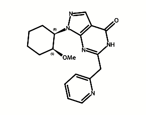 CO[C@H]1CCCC[C@H]1n1ncc2c(=O)[nH]c(Cc3ccccn3)nc21